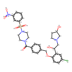 O=C(c1ccc(COc2ccc(Br)cc2C(O)CN2CCC(O)C2)cc1)N1CCN(S(=O)(=O)c2cccc([N+](=O)[O-])c2)CC1